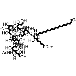 CCCCCCCC/C=C\CCCCCCCCCCCCCCCC(=O)N[C@@H](CO[C@@H]1OC(CO)[C@@H](O[C@@H]2OC(CO)[C@H](O)[C@H](O[C@]3(C(=O)O)CC(O)[C@@H](NC(C)=O)C([C@H](O)[C@@H](CO)O[C@]4(C(=O)O)CC(O)[C@@H](NC(C)=O)C([C@H](O)[C@@H](CO)O[C@]5(C(=O)O)CC(O)[C@@H](NC(C)=O)C([C@H](O)[C@H](O)CO)O5)O4)O3)C2O)[C@H](O)C1O)[C@H](O)/C=C/CCCCCCCCCCCCC